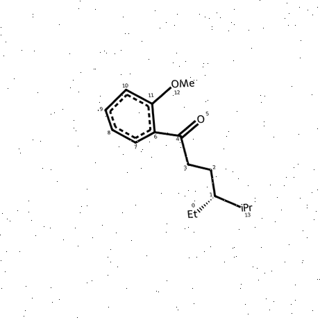 CC[C@H](CCC(=O)c1ccccc1OC)C(C)C